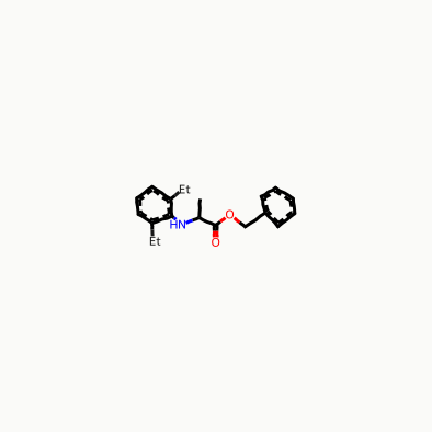 CCc1cccc(CC)c1NC(C)C(=O)OCc1ccccc1